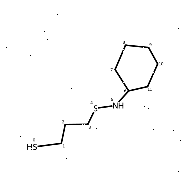 SCCCSNC1CCCCC1